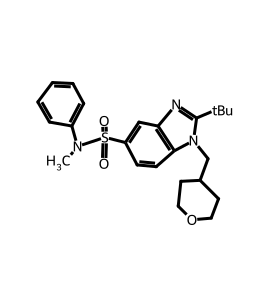 CN(c1ccccc1)S(=O)(=O)c1ccc2c(c1)nc(C(C)(C)C)n2CC1CCOCC1